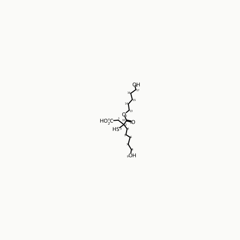 O=C(O)CC(S)(CCCCCO)C(=O)OCCCCCO